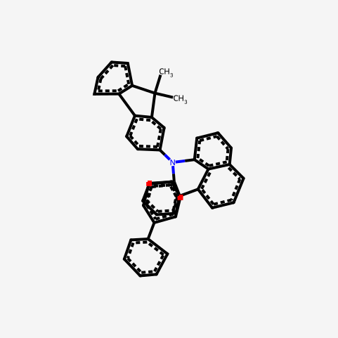 CC1(C)c2ccccc2-c2ccc(N(c3ccc(-c4ccccc4)cc3)c3cccc4cccc(-c5ccccc5)c34)cc21